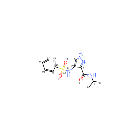 CC(C)NC(=O)c1n[nH]cc1NS(=O)(=O)c1ccccc1